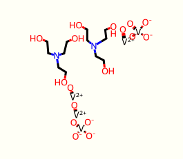 OCCN(CCO)CCO.OCCN(CCO)CCO.[O]=[V+2].[O]=[V+2].[O]=[V+2].[O]=[V]([O-])([O-])[O-].[O]=[V]([O-])([O-])[O-]